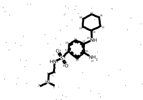 CN(C)CCNS(=O)(=O)c1ccc(NC2CCCCC2)c(N)c1